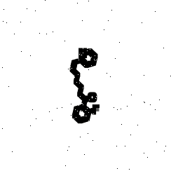 O=C(CCCC/C=C\c1ccccn1)c1ccccc1F